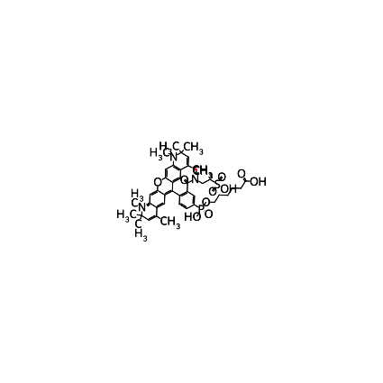 CC1=CC(C)(C)N(C)c2cc3c(cc21)C(c1ccc(P(=O)(O)OCCCCCC(=O)O)cc1C(=O)N(C)CCS(=O)(=O)O)=c1cc2c(cc1O3)=[N+](C)C(C)(C)C=C2C